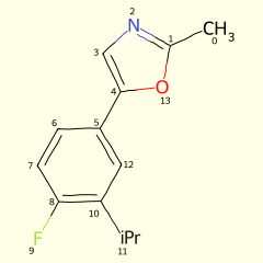 Cc1ncc(-c2ccc(F)c(C(C)C)c2)o1